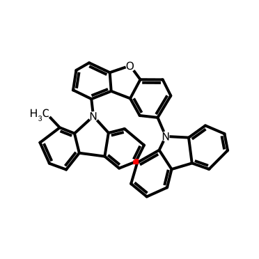 Cc1cccc2c3ccccc3n(-c3cccc4oc5ccc(-n6c7ccccc7c7ccccc76)cc5c34)c12